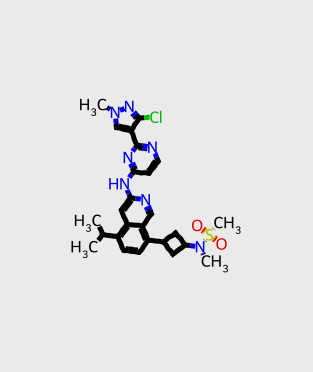 CC(C)c1ccc(C2CC(N(C)S(C)(=O)=O)C2)c2cnc(Nc3ccnc(-c4cn(C)nc4Cl)n3)cc12